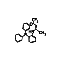 C/C(=C/C(=O)C(F)(F)F)Nc1ccccc1P(c1ccccc1)c1ccccc1